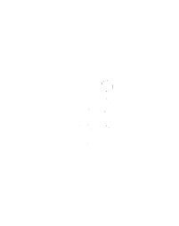 CC(C)(NC(=O)[C@@H]1CNC[C@H](N2CC(=O)N(c3ccccc3Cl)CC2(C)C)C1)C1CCOCC1